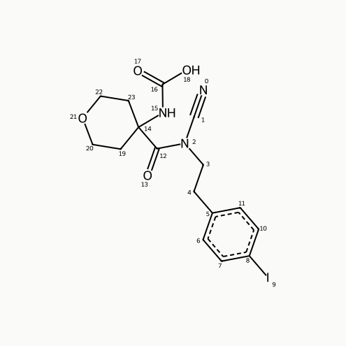 N#CN(CCc1ccc(I)cc1)C(=O)C1(NC(=O)O)CCOCC1